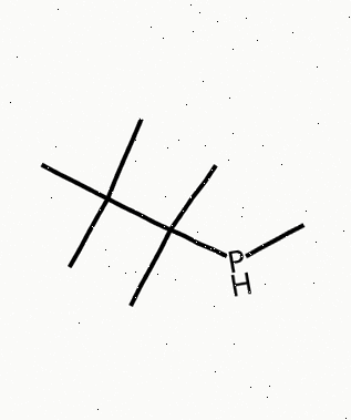 CPC(C)(C)C(C)(C)C